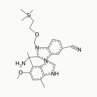 COc1cc(C)c2[nH]ccc2c1C(C)(N)c1nc2cc(C#N)ccc2n1COCC[Si](C)(C)C